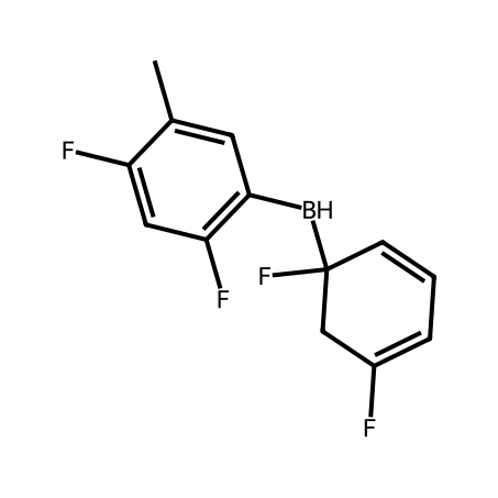 Cc1cc(BC2(F)C=CC=C(F)C2)c(F)cc1F